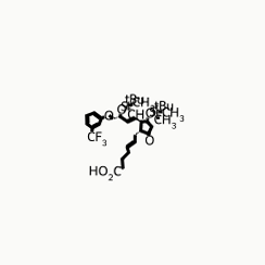 CC(C)(C)[Si](C)(C)O[C@H](C=C[C@H]1[C@H](O[Si](C)(C)C(C)(C)C)CC(=O)[C@@H]1CC=CCCCC(=O)O)COc1cccc(C(F)(F)F)c1